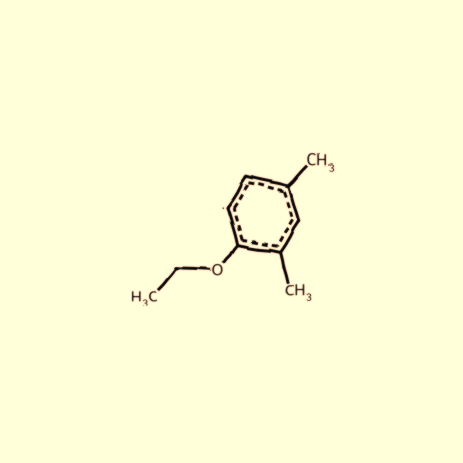 CCOc1[c]cc(C)cc1C